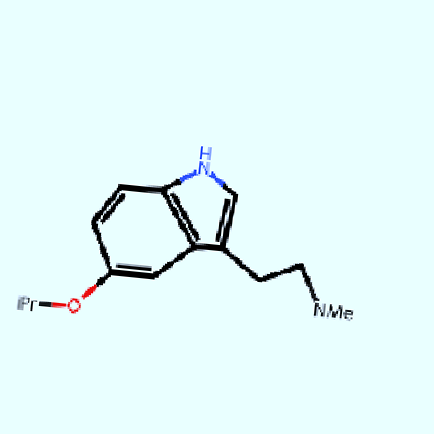 CNCCc1c[nH]c2ccc(OC(C)C)cc12